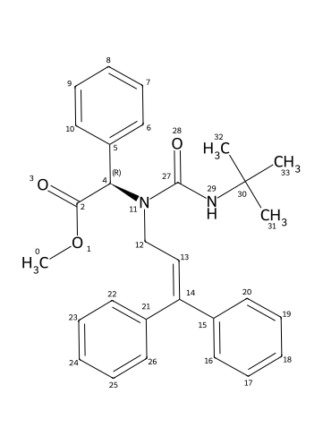 COC(=O)[C@@H](c1ccccc1)N(CC=C(c1ccccc1)c1ccccc1)C(=O)NC(C)(C)C